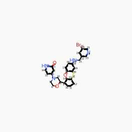 O=c1cc(N2CCOC(c3cccc4c3Oc3ccc(NCc5cncc(Br)c5)cc3S4)C2)cc[nH]1